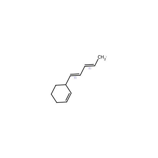 [CH2]/C=C/C=C/C1C=CCCC1